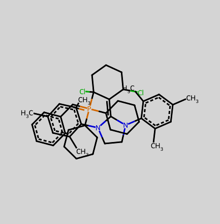 Cc1cc(C)c(N2CCN(c3c(C)cc(C)cc3C)C2=C2C(Cl)CCCC2(Cl)P(=Cc2ccccc2)(C2CCCCC2)C2CCCCC2)c(C)c1